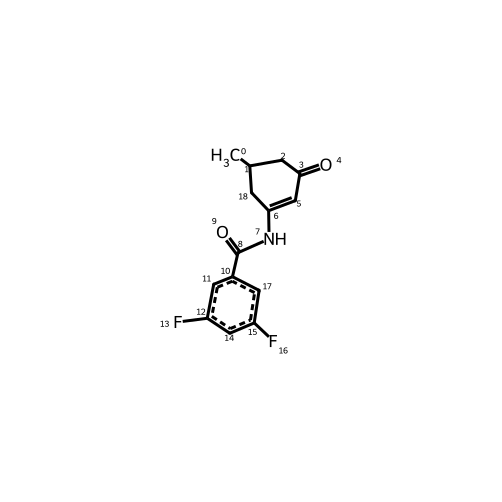 CC1CC(=O)C=C(NC(=O)c2cc(F)cc(F)c2)C1